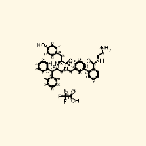 NCCNC(=O)c1ccccc1-c1cccc(CN(CCC(c2ccccc2)c2ccccc2)C(=O)C(N)Cc2ccc(O)cc2)c1.O=C(O)C(F)(F)F